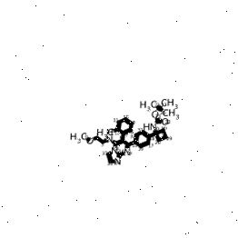 COCCNc1c(-c2ccccc2C)c(-c2ccc(C3(NC(=O)OC(C)(C)C)CCC3)cc2)nc2nccn12